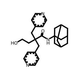 O=C(NC12CC3CC(CC(C3)C1)C2)C(CCO)(Cc1ccncc1)Cc1ccncc1